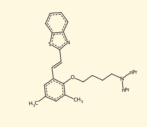 CCCN(CCC)CCCCOc1c(C)cc(C)cc1C=Cc1nc2ccccc2s1